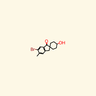 Cc1cc2c(cc1Br)C(=O)C1(CCC(O)CC1)C2